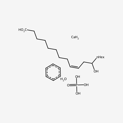 CCCCCCC(O)C/C=C\CCCCCCCC(=O)O.O.O=P(O)(O)O.[CaH2].c1ccccc1